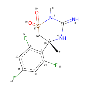 CN1C(=N)N[C@](C)(c2c(F)cc(F)cc2F)CS1(=O)=O